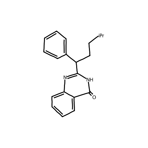 CC(C)CCC(c1ccccc1)c1nc2ccccc2c(=O)[nH]1